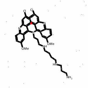 COc1ccc2nc3cc(Cl)ccc3c(N(CCCNCCCCNCCCN)c3c4ccc(Cl)cc4nc4ccc(OC)cc34)c2c1